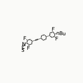 CCCCc1c(F)cc(-c2ccc(C#Cc3cc(F)c(N=C=S)c(F)c3)cc2)cc1F